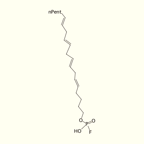 CCCCCC=CCC=CCC=CCC=CCCCCOP(=O)(O)F